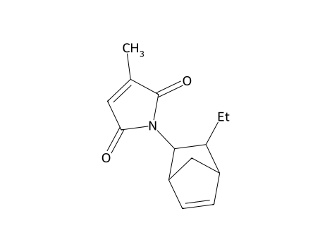 CCC1C2C=CC(C2)C1N1C(=O)C=C(C)C1=O